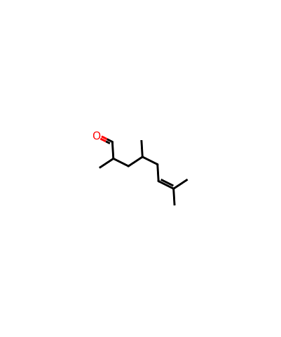 CC(C)=CCC(C)CC(C)C=O